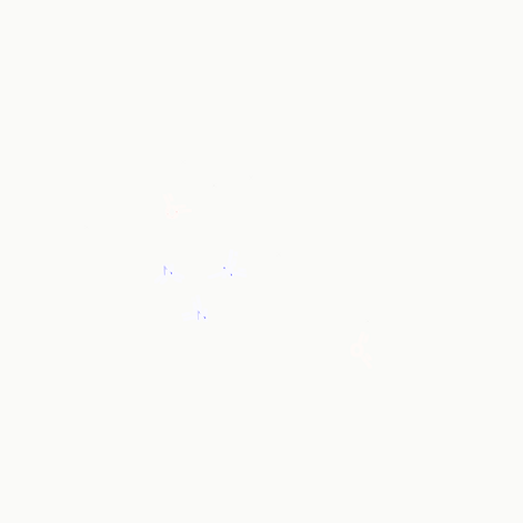 C1=Cc2c(oc3c2ccc2c4c(n(-c5nc(-c6ccccc6)c6c(n5)=CCCC=6)c23)CCC(c2cccc3c2oc2ccccc23)=C4)CC1